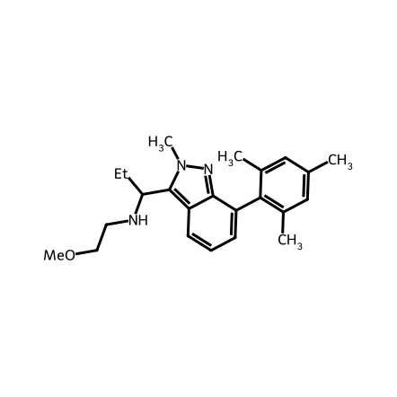 CCC(NCCOC)c1c2cccc(-c3c(C)cc(C)cc3C)c2nn1C